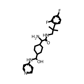 CC(C)(CNC(=O)C(N)C1CCC(C(O)Nc2ccncc2)CC1)c1ccc(F)cc1F